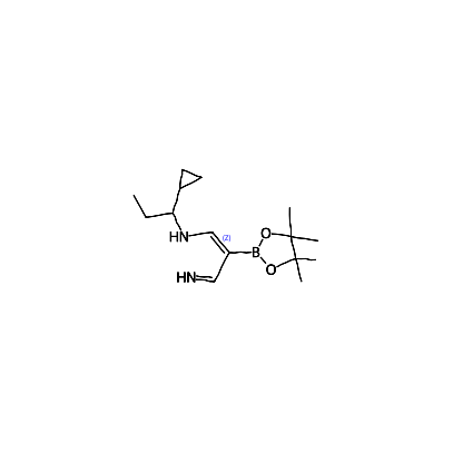 CCC(N/C=C(\C=N)B1OC(C)(C)C(C)(C)O1)C1CC1